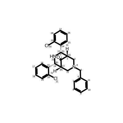 O=C1[C@H]2CN(Cc3ccccc3)C[C@@H]1[C@H](c1ccccc1Cl)N[C@@H]2c1ccccc1Cl